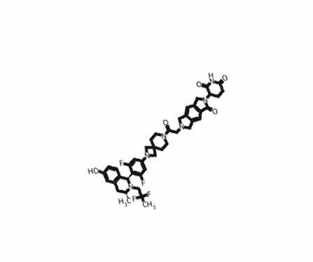 C[C@@H]1Cc2cc(O)ccc2[C@@H](c2c(F)cc(N3CC4(CCN(C(=O)CN5Cc6cc7c(cc6C5)C(=O)N(C5CCC(=O)NC5=O)C7)CC4)C3)cc2F)N1CC(C)(F)F